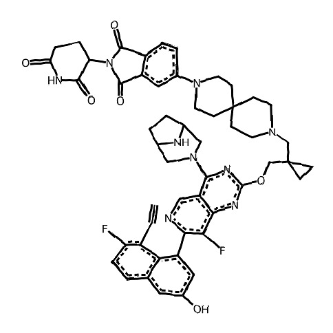 C#Cc1c(F)ccc2cc(O)cc(-c3ncc4c(N5CC6CCC(C5)N6)nc(OCC5(CN6CCC7(CC6)CCN(c6ccc8c(c6)C(=O)N(C6CCC(=O)NC6=O)C8=O)CC7)CC5)nc4c3F)c12